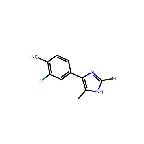 CCc1nc(-c2ccc(C#N)c(F)c2)c(C)[nH]1